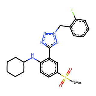 CNS(=O)(=O)c1ccc(NC2CCCCC2)c(-c2nnn(Cc3ccccc3F)n2)c1